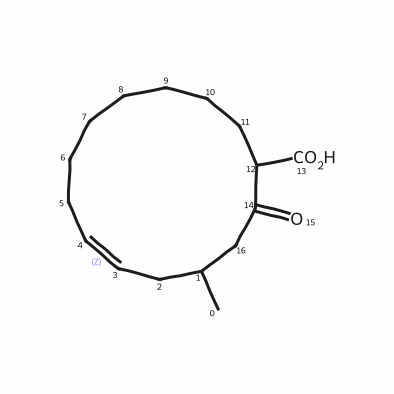 CC1C/C=C\CCCCCCCC(C(=O)O)C(=O)C1